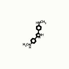 CNc1ccc(-c2cc(-c3ccc(NC)cc3)[nH]n2)cc1